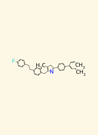 C=C/C=C(\C=C/C)c1ccc(C2=NC(Cc3ccc(CCc4ccc(F)cc4)cc3)=C(C)C2)cc1